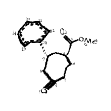 COC(=O)[C@H]1CCC(=O)C[C@@H]1c1ccccc1